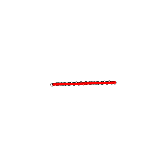 O=CCCOCCOCCOCCOCCOCCOCCOCCOCCOCCOCCOCCOCCOCCOCCOCCOCCOCCOCCOCCOCCOCCOCCOCCOCCOCCC=O